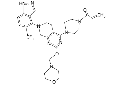 C=CC(=O)N1CCN(c2nc(OCN3CCOCC3)nc3c2CCN(c2c(C(F)(F)F)ccc4[nH]ncc24)C3)CC1